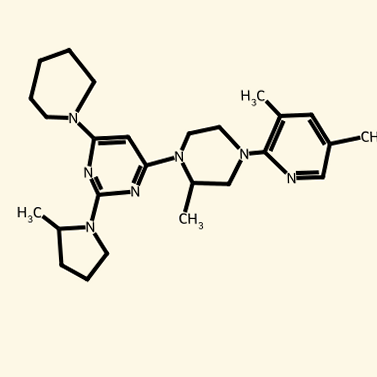 Cc1cnc(N2CCN(c3cc(N4CCCCC4)nc(N4CCCC4C)n3)C(C)C2)c(C)c1